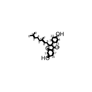 CC(C)=CCC/C(C)=C/Cc1oc2cc(O)ccc2c(=O)c1-c1ccc(O)cc1